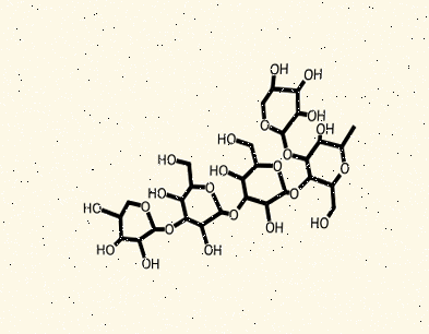 CC1OC(CO)C(OC2OC(CO)C(O)C(OC3OC(CO)C(O)C(OC4OCC(O)C(O)C4O)C3O)C2O)C(OC2OCC(O)C(O)C2O)C1O